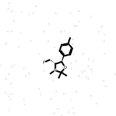 Cc1ccc([C@H]2OC(C)(C)N(C)[C@@H]2CF)cc1